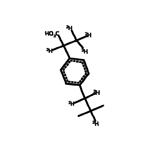 [2H]C([2H])([2H])C([2H])(C(=O)O)c1ccc(C([2H])([2H])C([2H])(C)C)cc1